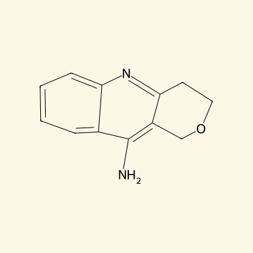 Nc1c2c(nc3ccccc13)CCOC2